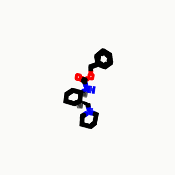 O=C(N[C@@H]1CCCC[C@H]1CN1CCCCC1)OCc1ccccc1